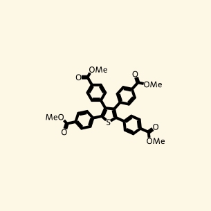 COC(=O)c1ccc(-c2sc(-c3ccc(C(=O)OC)cc3)c(-c3ccc(C(=O)OC)cc3)c2-c2ccc(C(=O)OC)cc2)cc1